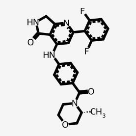 C[C@@H]1COCCN1C(=O)c1ccc(Nc2cc(-c3c(F)cccc3F)nc3c2C(=O)NC3)cc1